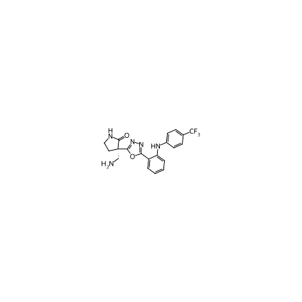 NC[C@]1(c2nnc(-c3ccccc3Nc3ccc(C(F)(F)F)cc3)o2)CCNC1=O